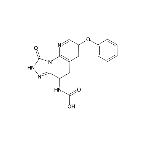 O=C(O)NC1Cc2cc(Oc3ccccc3)cnc2-n2c1n[nH]c2=O